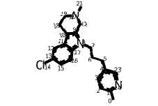 Cc1ccc(CCCn2c3c(c4cc(Cl)ccc42)CCN(C)C3)cn1